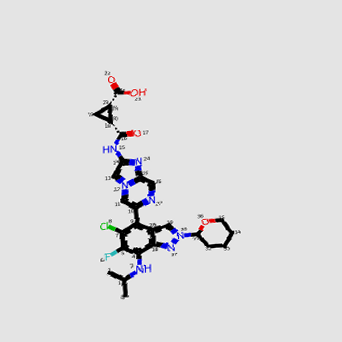 CC(C)Nc1c(F)c(Cl)c(-c2cn3cc(NC(=O)[C@@H]4C[C@@H]4C(=O)O)nc3cn2)c2cn(C3CCCCO3)nc12